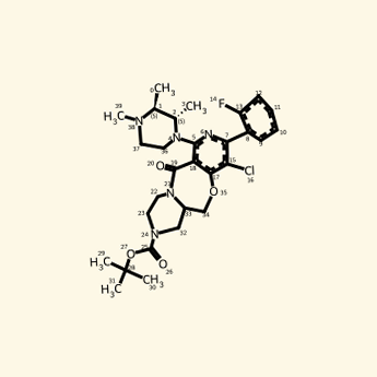 C[C@H]1[C@H](C)N(c2nc(-c3ccccc3F)c(Cl)c3c2C(=O)N2CCN(C(=O)OC(C)(C)C)CC2CO3)CCN1C